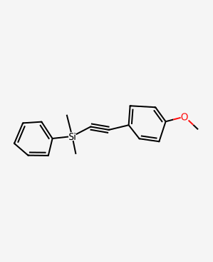 COc1ccc(C#C[Si](C)(C)c2ccccc2)cc1